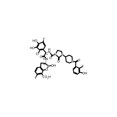 O=C(O)c1c(F)ccc2c1OB(O)[C@@H](NC(=O)[C@@H](NC(=O)N1CCN(C3CCN(C(=O)c4cccc(O)c4F)CC3)C1=O)c1cc(F)c(O)c(O)c1Cl)C2